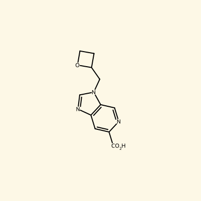 O=C(O)c1cc2ncn(CC3CCO3)c2cn1